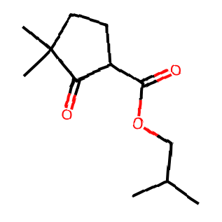 CC(C)COC(=O)C1CCC(C)(C)C1=O